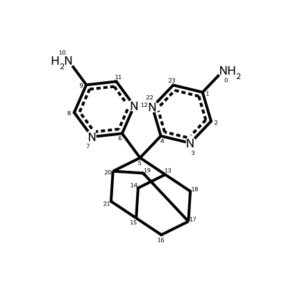 Nc1cnc(C2(c3ncc(N)cn3)C3CC4CC(C3)CC2C4)nc1